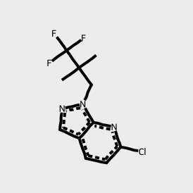 CC(C)(Cn1ncc2ccc(Cl)nc21)C(F)(F)F